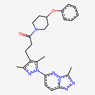 Cc1nn(-c2ccc3nnc(C)n3n2)c(C)c1CCC(=O)N1CCC(Oc2ccccc2)CC1